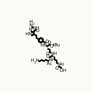 CC(=O)[C@H](CCCCN)NC(=O)[C@H](CCCCNC(=O)CO)NC(=O)CC[C@H](NC(=O)c1ccc(CCc2c[nH]c3nc(N)[nH]c(=O)c23)cc1)C(=O)OC(C)(C)C